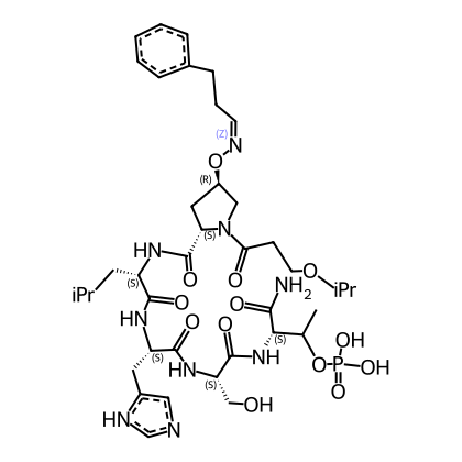 CC(C)C[C@H](NC(=O)[C@@H]1C[C@@H](O/N=C\CCc2ccccc2)CN1C(=O)CCOC(C)C)C(=O)N[C@@H](Cc1cnc[nH]1)C(=O)N[C@@H](CO)C(=O)N[C@H](C(N)=O)C(C)OP(=O)(O)O